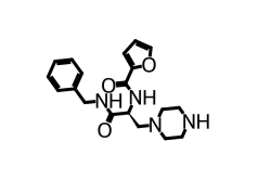 O=C(N[C@@H](CN1CCNCC1)C(=O)NCc1ccccc1)c1ccco1